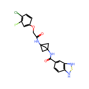 O=C(COc1ccc(Cl)c(F)c1)NC12CC(NC(=O)c3ccc4c(c3)NSN4)(C1)C2